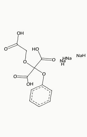 O=C(O)COC(Oc1ccccc1)(C(=O)O)C(=O)O.[NaH].[NaH].[NaH]